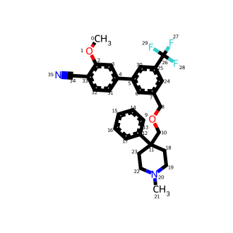 COc1cc(-c2cc(COCC3(c4ccccc4)CCN(C)CC3)cc(C(F)(F)F)c2)ccc1C#N